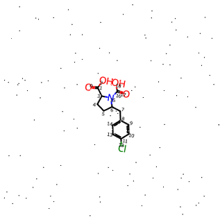 O=C(O)C1CCC(Cc2ccc(Cl)cc2)N1C(=O)O